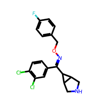 Fc1ccc(CON=C(c2ccc(Cl)c(Cl)c2)C2C3CNCC32)cc1